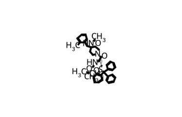 CC(=O)NC1(Cc2ccccc2C)CCN(C(=O)[C@H](CSC(c2ccccc2)(c2ccccc2)c2ccccc2)NC(=O)OC(C)(C)C)CC1